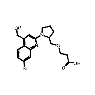 O=C(O)CCOCC1CCCN1c1cc(CO)c2ccc(Br)cc2n1